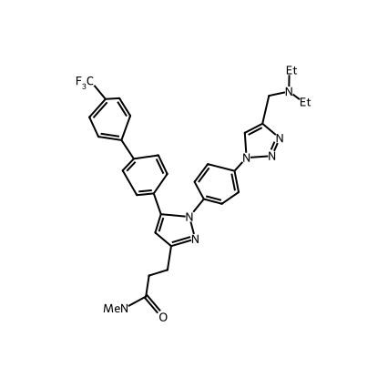 CCN(CC)Cc1cn(-c2ccc(-n3nc(CCC(=O)NC)cc3-c3ccc(-c4ccc(C(F)(F)F)cc4)cc3)cc2)nn1